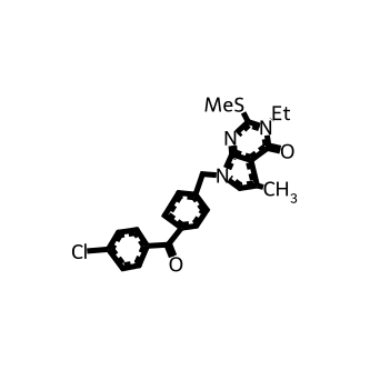 CCn1c(SC)nc2c(c(C)cn2Cc2ccc(C(=O)c3ccc(Cl)cc3)cc2)c1=O